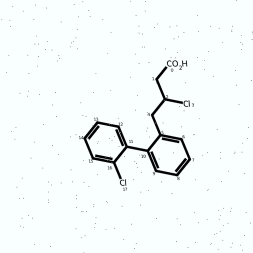 O=C(O)CC(Cl)Cc1ccccc1-c1ccccc1Cl